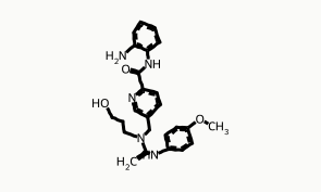 C=C(Nc1ccc(OC)cc1)N(CCCO)Cc1ccc(C(=O)Nc2ccccc2N)nc1